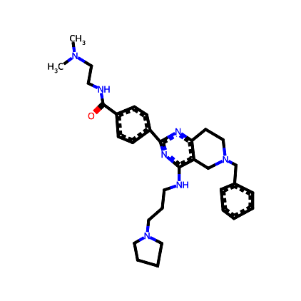 CN(C)CCNC(=O)c1ccc(-c2nc3c(c(NCCCN4CCCC4)n2)CN(Cc2ccccc2)CC3)cc1